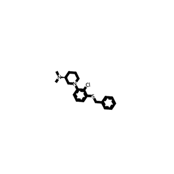 CN(C)[C@H]1CCCN(c2cccc(SCc3ccccc3)c2Cl)C1